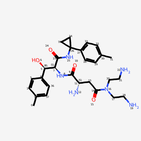 Cc1ccc([C@@H](O)[C@H](NC(=O)[C@@H](N)CC(=O)N(CCN)CCN)C(=O)NC2(c3ccc(C)cc3)CC2)cc1